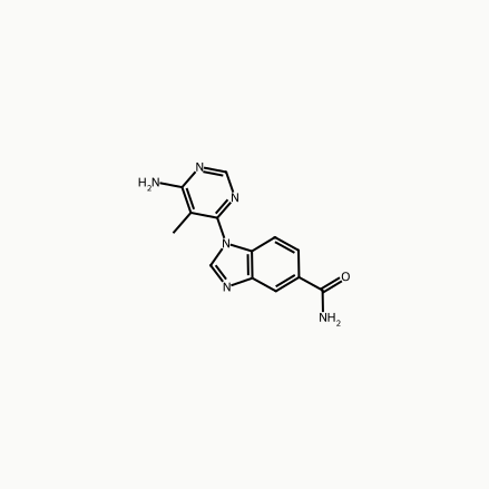 Cc1c(N)ncnc1-n1cnc2cc(C(N)=O)ccc21